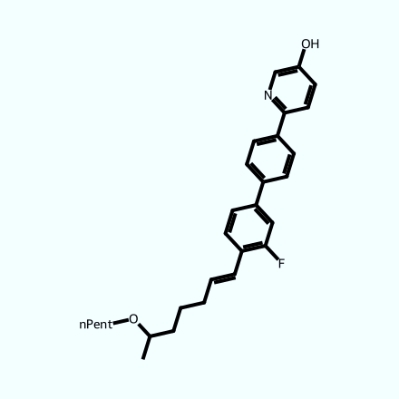 CCCCCOC(C)CCCC=Cc1ccc(-c2ccc(-c3ccc(O)cn3)cc2)cc1F